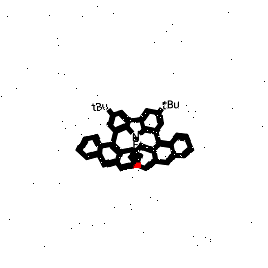 CCn1c2c(-c3c4ccccc4cc4ccccc34)cc(C(C)(C)C)cc2c2cc(C(C)(C)C)cc(-c3c4ccccc4cc4ccccc34)c21